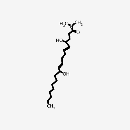 CCCCCCCCC(O)/C=C/CC/C=C/C(O)CCC(=O)N(C)C